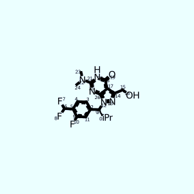 CC(C)[C@@H](c1ccc(C(F)F)c(F)c1)n1nc(CO)c2c(=O)[nH]c(N(C)C)nc21